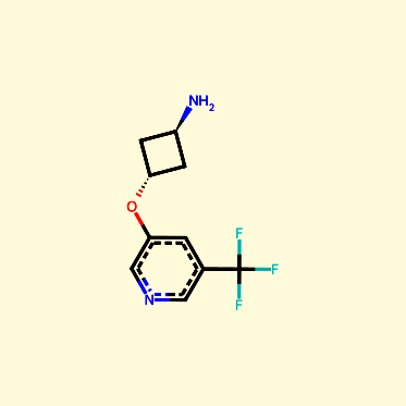 N[C@H]1C[C@H](Oc2cncc(C(F)(F)F)c2)C1